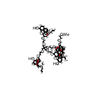 C=CCN1CC[C@]23c4c5ccc(O)c4O[C@H]2C(OCCOCC(COCCOC2CC[C@@]4(O)C6Cc7ccc(O)c8c7[C@@]4(CCN6CC=C)C2O8)(COCCOC2CC[C@@]4(O)C6Cc7ccc(O)c8c7[C@@]4(CCN6CC=C)C2O8)COCCOC2CC[C@@]4(O)C6Cc7ccc(OCOCCOC)c8c7[C@@]4(CCN(CC=C)C6)[C@H]2O8)CC[C@@]3(O)C(C5)C1